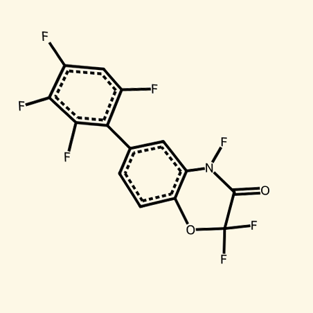 O=C1N(F)c2cc(-c3c(F)cc(F)c(F)c3F)ccc2OC1(F)F